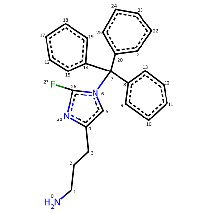 NCCCc1cn(C(c2ccccc2)(c2ccccc2)c2ccccc2)c(F)n1